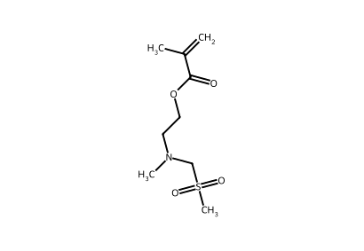 C=C(C)C(=O)OCCN(C)CS(C)(=O)=O